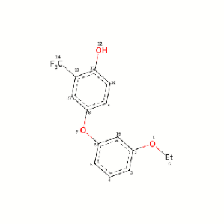 CCOc1cccc(Oc2ccc(O)c(C(F)(F)F)c2)c1